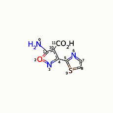 Nc1onc(-c2nccs2)c1C(=O)O